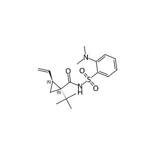 C=C[C@@H]1C[C@@]1(C(=O)NS(=O)(=O)c1ccccc1N(C)C)C(C)(C)C